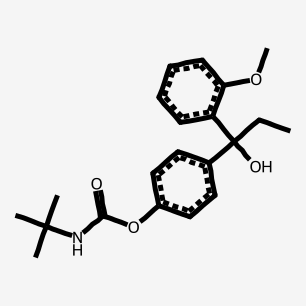 CCC(O)(c1ccc(OC(=O)NC(C)(C)C)cc1)c1ccccc1OC